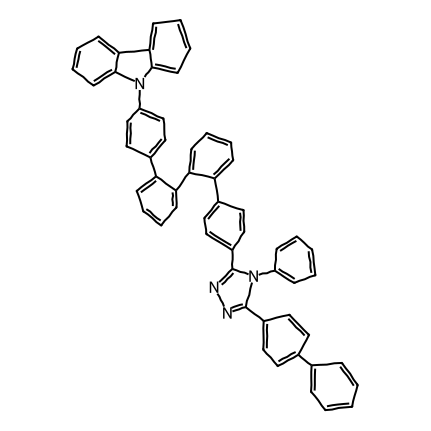 c1ccc(-c2ccc(-c3nnc(-c4ccc(-c5ccccc5-c5ccccc5-c5ccc(-n6c7ccccc7c7ccccc76)cc5)cc4)n3-c3ccccc3)cc2)cc1